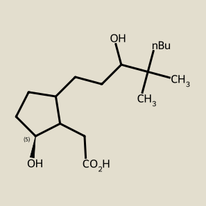 CCCCC(C)(C)C(O)CCC1CC[C@H](O)C1CC(=O)O